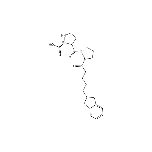 O=C(C1CCN[C@@H]1C(O)=S)[C@@H]1CCCN1C(=O)CCCCC1Cc2ccccc2C1